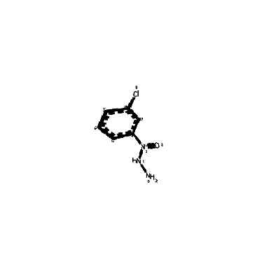 NN[N+](=O)c1cc[c]c(Cl)c1